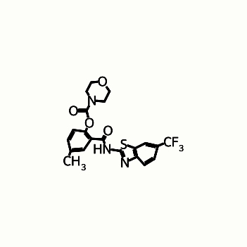 Cc1ccc(OC(=O)N2CCOCC2)c(C(=O)Nc2nc3ccc(C(F)(F)F)cc3s2)c1